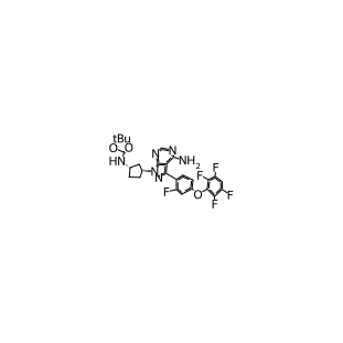 CC(C)(C)OC(=O)N[C@H]1CC[C@H](n2nc(-c3ccc(Oc4c(F)c(F)cc(F)c4F)cc3F)c3c(N)ncnc32)C1